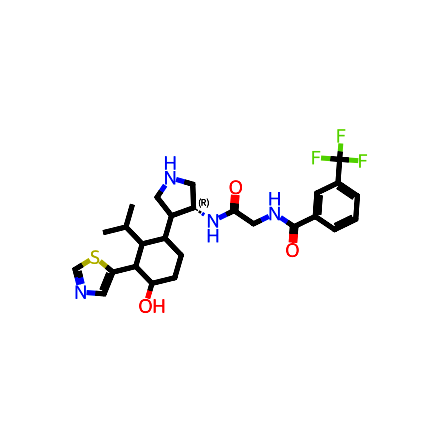 CC(C)C1C(C2CNC[C@@H]2NC(=O)CNC(=O)c2cccc(C(F)(F)F)c2)CCC(O)C1c1cncs1